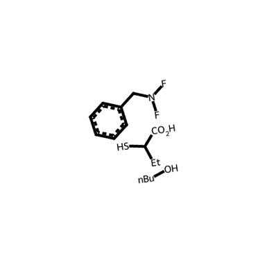 CCC(S)C(=O)O.CCCCO.FN(F)Cc1ccccc1